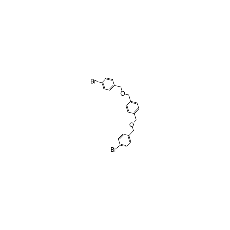 Brc1ccc(COCc2ccc(COCc3ccc(Br)cc3)cc2)cc1